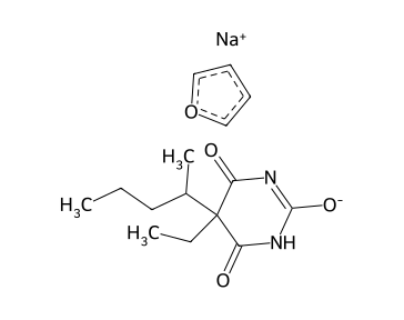 CCCC(C)C1(CC)C(=O)N=C([O-])NC1=O.[Na+].c1ccoc1